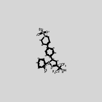 CCS(=O)(=O)N1CC=C(c2ccc(C3CC(C(O)(C(F)(F)F)C(F)(F)F)=NN3c3ccccc3Cl)cc2)CC1